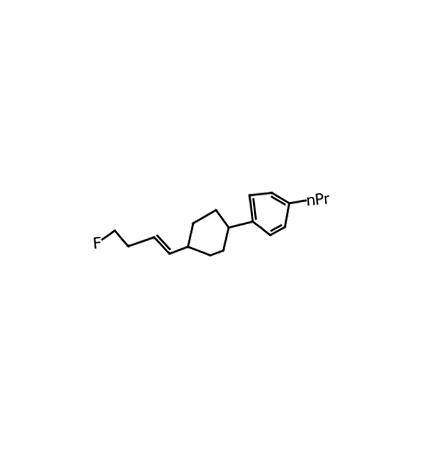 CCCc1ccc(C2CCC(/C=C/CCF)CC2)cc1